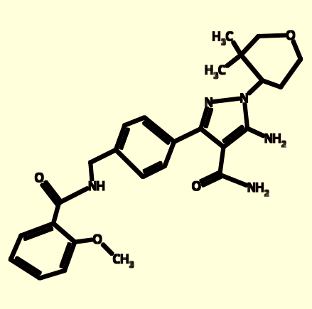 COc1ccccc1C(=O)NCc1ccc(-c2nn(C3CCOCC3(C)C)c(N)c2C(N)=O)cc1